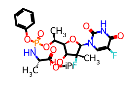 CC(C)OC(=O)[C@H](C)N[P@@](=O)(Oc1ccccc1)O[C@@H](C)[C@H]1O[C@@H](n2cc(F)c(=O)[nH]c2=O)[C@](C)(F)C1O